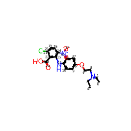 CCN(CC)CCOc1ccc(Nc2c([N+](=O)[O-])ccc(Cl)c2C(=O)O)cc1